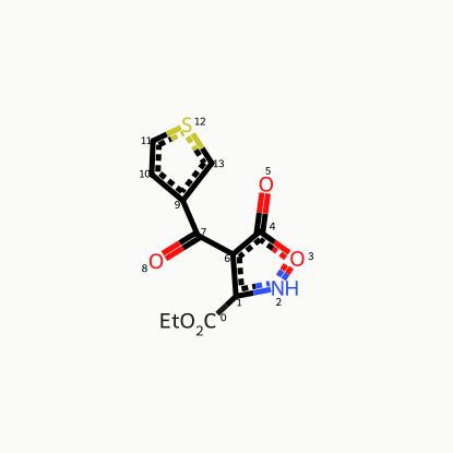 CCOC(=O)c1[nH]oc(=O)c1C(=O)c1ccsc1